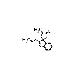 C=CCC1=Nc2ccccc2C1(CC=C)CC=C